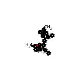 C=CC1=CCC(C)(C2(c3ccccc3)c3ccccc3C3(C)C=CC(N(c4ccc(-c5ccccc5)cc4)c4ccc(-c5ccc(N(c6ccc(-c7ccccc7)cc6)c6ccc7c(c6)C(C6=CCCC=C6)(c6ccc(C=C)cc6)c6ccccc6-7)cc5)cc4)=CC32)C=C1